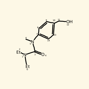 CCN(CC)C(=O)N(C)c1ccc(CO)cc1